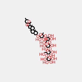 CC1CCC2(OC1)OC1CC3C(C)(CCC4C5(C)CCC(OC6OC(C)C(OC7OC(CO)C(OC8OC(O)C(O)C(OC9OC(CO)C(OC%10OC(O)C(O)C(O)C%10O)C(O)C9O)C8O)C(O)C7O)C(O)C6O)CC5CCC43C)C1C2C